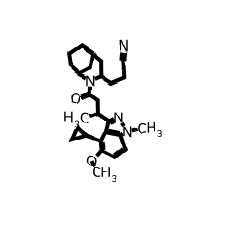 COc1ccc2c(c(C(C)CC(=O)N3C(CCC#N)CC4CCCC3C4)nn2C)c1C1CC1